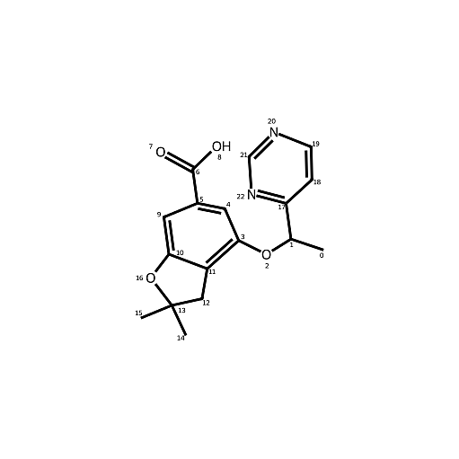 CC(Oc1cc(C(=O)O)cc2c1CC(C)(C)O2)c1ccncn1